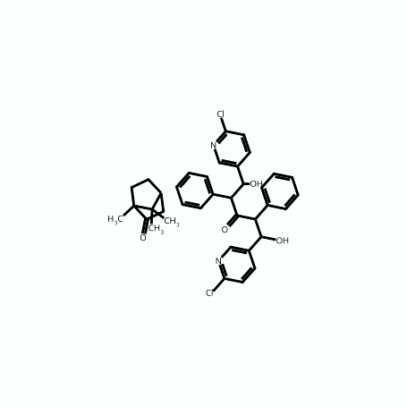 CC12CCC(CC1=O)C2(C)C.O=C(C(c1ccccc1)C(O)c1ccc(Cl)nc1)C(c1ccccc1)C(O)c1ccc(Cl)nc1